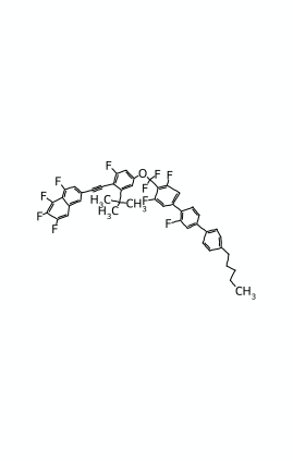 CCCCCc1ccc(-c2ccc(-c3cc(F)c(C(F)(F)Oc4cc(F)c(C#Cc5cc(F)c6c(F)c(F)c(F)cc6c5)c(C(C)(C)C)c4)c(F)c3)c(F)c2)cc1